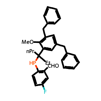 CCCC(CC)(Pc1ccc(F)cc1C=O)c1cc(Cc2ccccc2)cc(Cc2ccccc2)c1OC